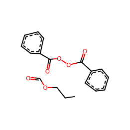 CCCOC=O.O=C(OOC(=O)c1ccccc1)c1ccccc1